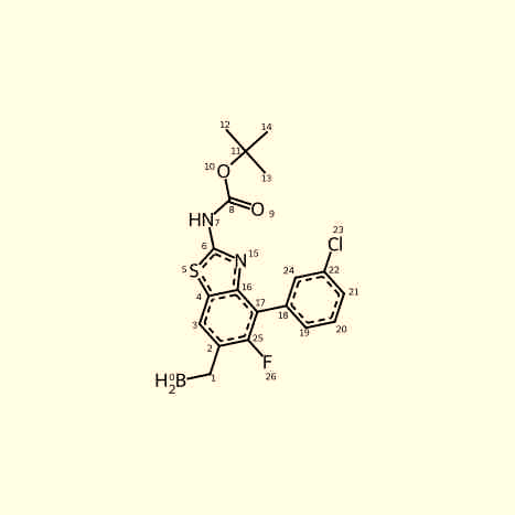 BCc1cc2sc(NC(=O)OC(C)(C)C)nc2c(-c2cccc(Cl)c2)c1F